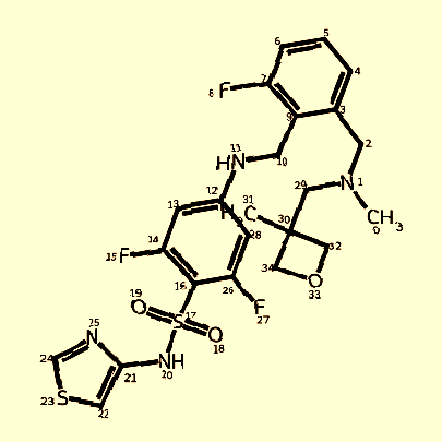 CN(Cc1cccc(F)c1CNc1cc(F)c(S(=O)(=O)Nc2cscn2)c(F)c1)CC1(C)COC1